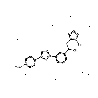 COc1ccc(-c2cnn(-c3cccc(C(C)Sc4nncn4C)c3)n2)cc1